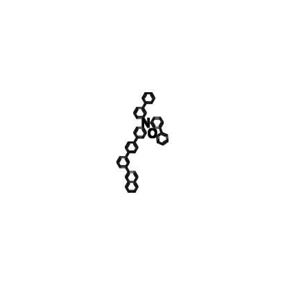 c1ccc(-c2cccc(N(c3ccc(-c4ccc(-c5cccc(-c6ccc7ccccc7c6)c5)cc4)cc3)c3cccc4c3oc3ccccc34)c2)cc1